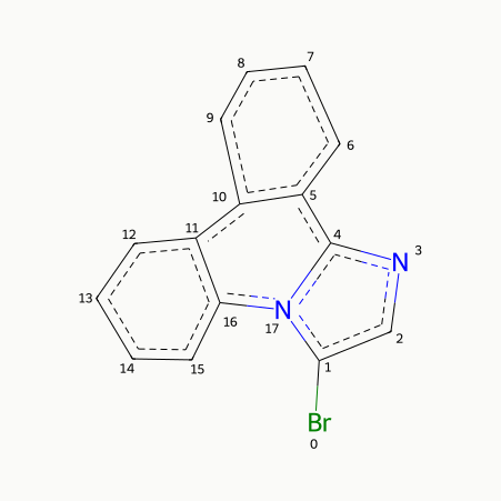 Brc1cnc2c3ccccc3c3ccccc3n12